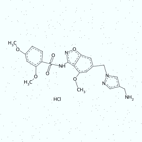 COc1ccc(S(=O)(=O)Nc2noc3cc(Cn4cc(CN)cn4)cc(OC)c23)c(OC)c1.Cl